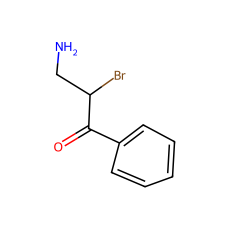 NCC(Br)C(=O)c1ccccc1